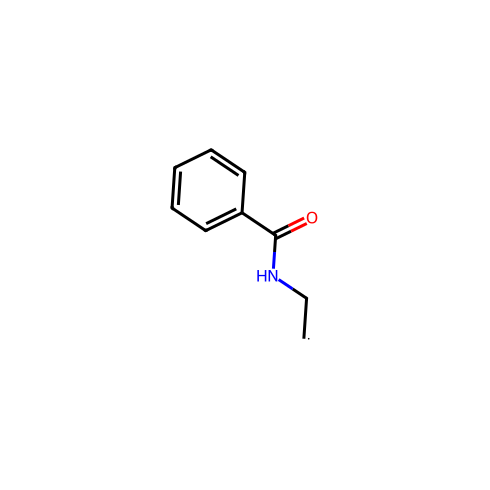 [CH2]CNC(=O)c1ccccc1